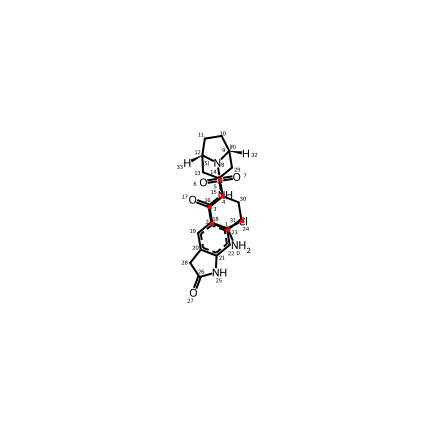 NC1CCC(S(=O)(=O)N2[C@@H]3CC[C@H]2CC(NC(=O)c2cc4c(cc2Cl)NC(=O)C4)C3)CC1